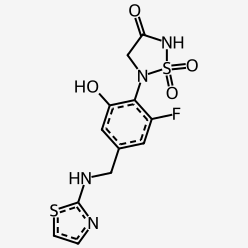 O=C1CN(c2c(O)cc(CNc3nccs3)cc2F)S(=O)(=O)N1